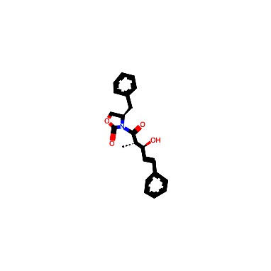 C[C@H](C(=O)N1C(=O)OC[C@H]1Cc1ccccc1)[C@@H](O)/C=C/c1ccccc1